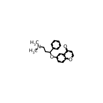 CN(C)CCC(Oc1ccc2occc(=O)c2c1)c1ccccc1